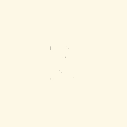 NP.O=[N+]([O-])O